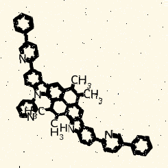 CC1c2cc3c([nH]c4ccc(-c5ccc(-c6ccccc6)cn5)cc43)c3c2-c2c(cc4c5cc(-c6ccc(-c7ccccc7)cn6)ccc5n(-c5cccnc5)c4c2C(C)C3C)C1C